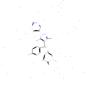 CCOC(=O)c1nn(-c2cnc(OC)nc2OC)c(C)c1C(Nc1cc(C)c(=O)n(C)c1)c1ccc(Cl)cc1